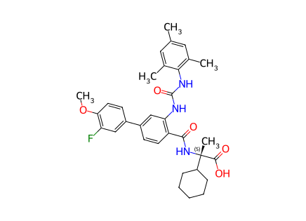 COc1ccc(-c2ccc(C(=O)N[C@](C)(C(=O)O)C3CCCCC3)c(NC(=O)Nc3c(C)cc(C)cc3C)c2)cc1F